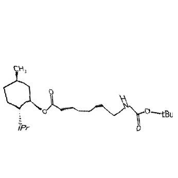 CC(C)[C@@H]1CC[C@@H](C)C[C@H]1OC(=O)CCCCCNC(=O)OC(C)(C)C